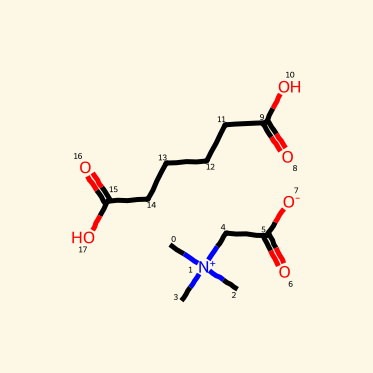 C[N+](C)(C)CC(=O)[O-].O=C(O)CCCCC(=O)O